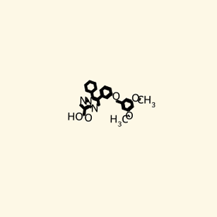 COc1cc(COc2cccc(-c3cnc4c(C(=O)O)cnn4c3C3CCCCC3)c2)cc(OC)c1